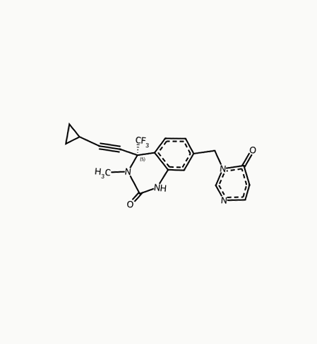 CN1C(=O)Nc2cc(Cn3cnccc3=O)ccc2[C@@]1(C#CC1CC1)C(F)(F)F